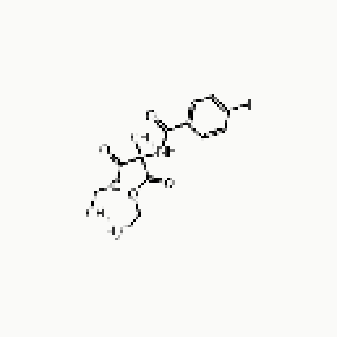 CCOC(=O)C(C)(NC(=O)c1ccc(I)cc1)C(=O)OCC